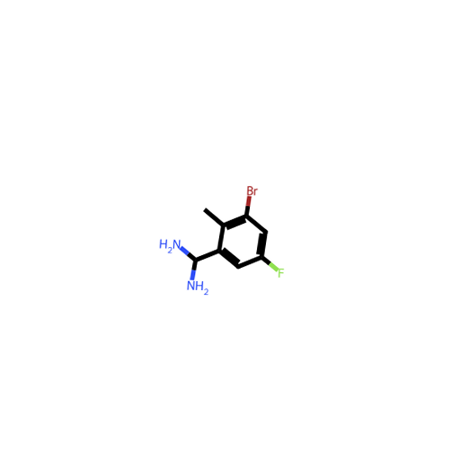 Cc1c(Br)cc(F)cc1C(N)N